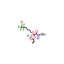 C=CC(=O)OC(OCCCCC(F)(F)C(F)(F)S)(C(=O)NCCCC)C(F)(F)F